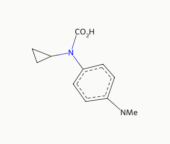 CNc1ccc(N(C(=O)O)C2CC2)cc1